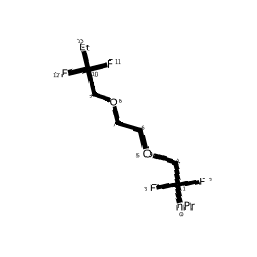 CCCC(F)(F)COCCOCC(F)(F)CC